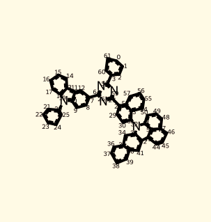 c1ccc(-c2nc(-c3ccc4c(c3)c3ccccc3n4-c3ccccc3)nc(-c3ccc(N4c5cc6ccccc6cc5-c5cccc6cccc4c56)c4ccccc34)n2)cc1